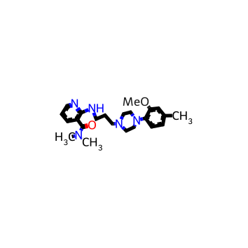 COc1cc(C)ccc1N1CCN(CCCNc2ncccc2C(=O)N(C)C)CC1